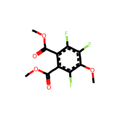 COC(=O)c1c(F)c(F)c(OC)c(F)c1C(=O)OC